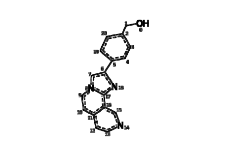 OCc1ccc(-c2cn3ccc4ccncc4c3n2)cc1